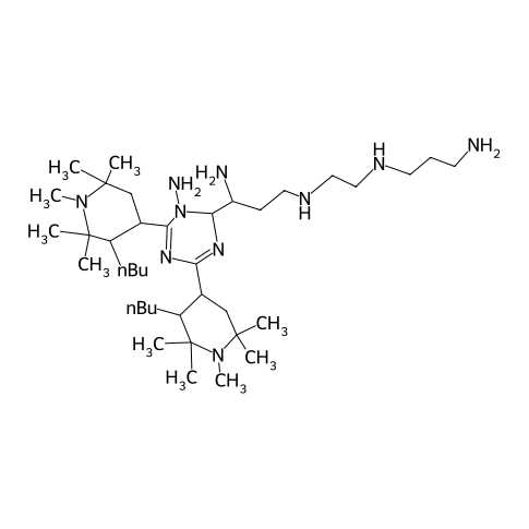 CCCCC1C(C2=NC(C(N)CCNCCNCCCN)N(N)C(C3CC(C)(C)N(C)C(C)(C)C3CCCC)=N2)CC(C)(C)N(C)C1(C)C